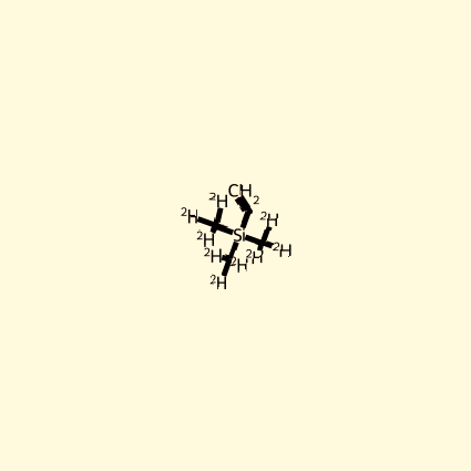 [2H]C([2H])([2H])[Si](C=C)(C([2H])([2H])[2H])C([2H])([2H])[2H]